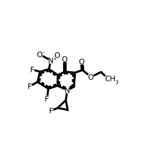 CCOC(=O)c1cn(C2CC2F)c2c(F)c(F)c(F)c([N+](=O)[O-])c2c1=O